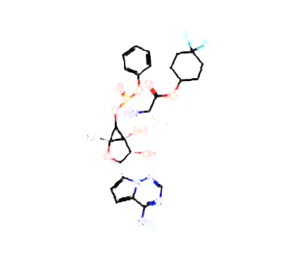 C[C@H](N[P@](=O)(Oc1ccccc1)OC1[C@@]2(C#N)O[C@@H](c3ccc4c(N)ncnn34)[C@H](O)[C@@]12O)C(=O)OC1CCC(F)(F)CC1